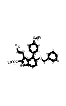 CCOC(=O)c1[nH]c2ccc(OCc3ccccc3)c(-c3ccc(OC(C)C)cc3)c2c1C=CC#N